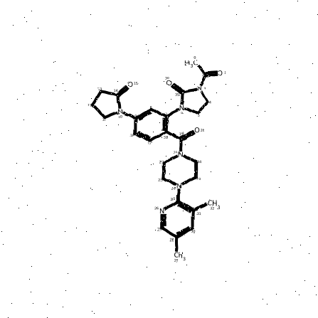 CC(=O)N1CCN(c2cc(N3CCCC3=O)ccc2C(=O)N2CCN(c3ncc(C)cc3C)CC2)C1=O